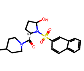 CC1CCN(C(=O)[C@@H]2CCC(O)N2S(=O)(=O)c2ccc3ccccc3c2)CC1